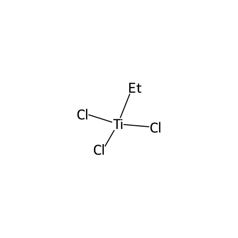 C[CH2][Ti]([Cl])([Cl])[Cl]